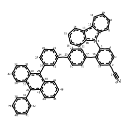 N#Cc1ccc(-n2c3ccccc3c3ccccc32)c(-c2ccc(-c3cccc(-c4c5ccccc5c(-c5ccccc5)c5ccccc45)c3)cc2)c1